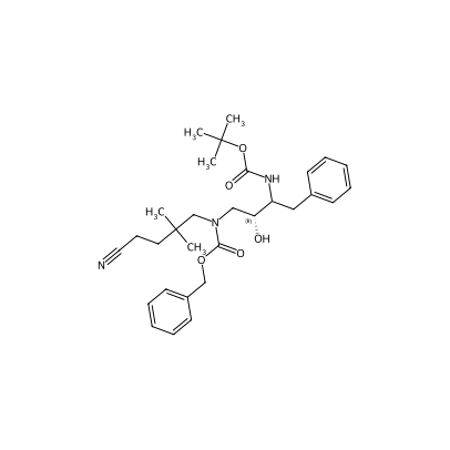 CC(C)(CCC#N)CN(C[C@@H](O)C(Cc1ccccc1)NC(=O)OC(C)(C)C)C(=O)OCc1ccccc1